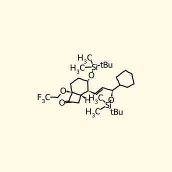 CC(C)(C)[Si](C)(C)O[C@@H](/C=C/[C@@H]1[C@@H](O[Si](C)(C)C(C)(C)C)CC[C@@]2(OCC(F)(F)F)C(=O)C[C@@H]12)C1CCCCC1